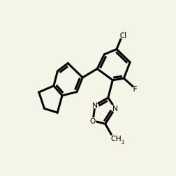 Cc1nc(-c2c(F)cc(Cl)cc2-c2ccc3c(c2)CCC3)no1